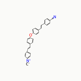 [C-]#[N+]c1ccc(/C=C/c2ccc(Oc3ccc(/C=C/c4ccc(C#N)cc4)cc3)cc2)cc1